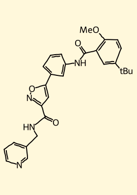 COc1ccc(C(C)(C)C)cc1C(=O)Nc1cccc(-c2cc(C(=O)NCc3cccnc3)no2)c1